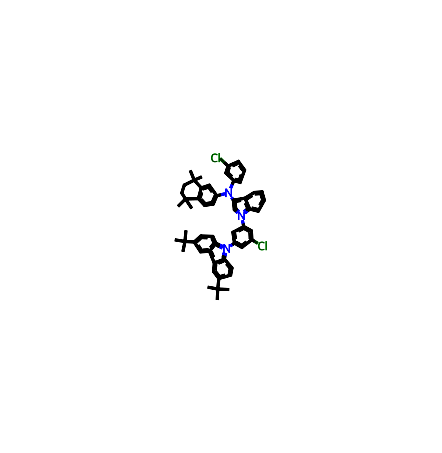 CC(C)(C)c1ccc2c(c1)c1cc(C(C)(C)C)ccc1n2-c1cc(Cl)cc(-n2cc(N(c3cccc(Cl)c3)c3ccc4c(c3)C(C)(C)CCC4(C)C)c3ccccc32)c1